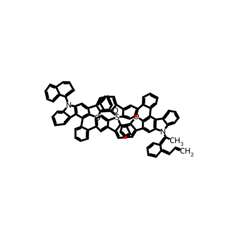 C=C/C=c1/cccc/c1=C(/C)n1c2ccccc2c2c(-c3ccccc3-c3ccc4c(c3)-c3ccccc3S43(=O)c4ccccc4-c4cc(-c5ccccc5-c5c6oc7ccccc7c6cc6c5c5ccccc5n6-c5cccc6ccccc56)ccc43)c3oc4ccccc4c3cc21